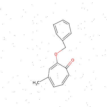 Cc1cccc(=O)c(OCc2ccccc2)c1